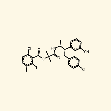 Cc1ccc(Cl)c(C(=O)OC(C)(C)C(=O)N[C@@H](C)[C@@H](Cc2ccc(Cl)cc2)c2cccc(C#N)c2)c1F